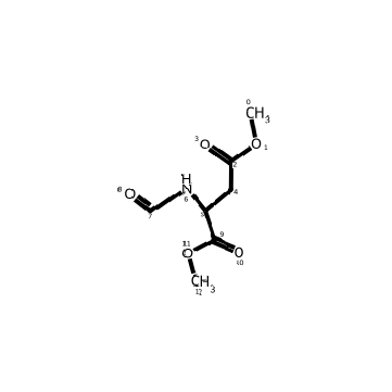 COC(=O)CC(NC=O)C(=O)OC